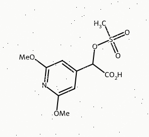 COc1cc(C(OS(C)(=O)=O)C(=O)O)cc(OC)n1